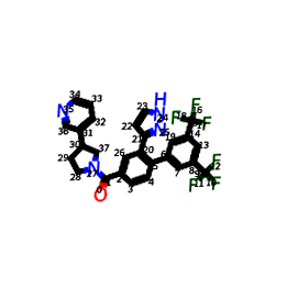 O=C(c1ccc(-c2cc(C(F)(F)F)cc(C(F)(F)F)c2)c(-c2cc[nH]n2)c1)N1CCC(c2cccnc2)C1